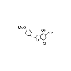 CCCc1cc(Cl)c2oc(Cc3ccc(OC)cc3)cc2c1O